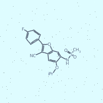 CC(C)Oc1cc2c(C#N)c(-c3ccc(F)cc3)oc2cc1NS(C)(=O)=O